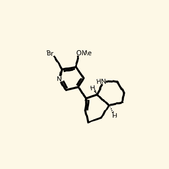 COc1cc(C2=CCC[C@@H]3CCCN[C@H]23)cnc1Br